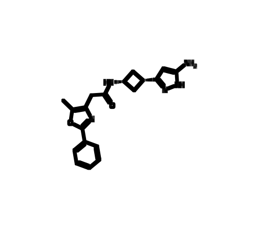 Cc1oc(-c2ccccc2)nc1CC(=O)N[C@H]1C[C@@H](c2cc(N)[nH]n2)C1